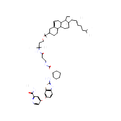 CNC(=O)c1cc(Oc2ccc3nc(N[C@H]4CCCC[C@@H]4OC(=O)NCCC(=O)NC(C)(C)CCOC(C)(C)C4CC[C@@]5(C)C(=CCC6C5CC[C@@]5(C)C6CC[C@@H]5[C@H](C)CCCC(C)C)C4)sc3c2)ccn1